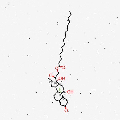 CCCCCCCCCCCCCCCC(=O)OCC(=O)[C@@]1(O)[C@H](C)CC2C3CCC4=CC(=O)C=C[C@]4(C)[C@@]3(F)[C@@H](O)C[C@@]21C